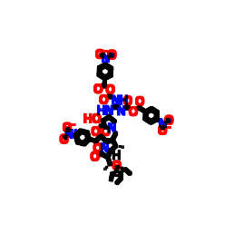 CC[Si](CC)(CC)O[C@H](C)C1C(=O)N2C(C3(C(=O)c4ccc([N+](=O)[O-])cc4)OCO3)=C(CN3C[C@@H](O)[C@H](NC(=NC(=O)OC(=O)c4ccc([N+](=O)[O-])cc4)NC(=O)OC(=O)c4ccc([N+](=O)[O-])cc4)C3)[C@H](C)[C@H]12